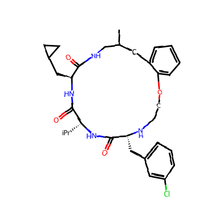 CC1CNC(=O)[C@H](CC2CC2)NC(=O)[C@@H](C(C)C)NC(=O)[C@@H](Cc2cccc(Cl)c2)NCCOc2ccccc2C1